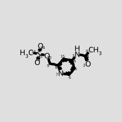 CC(=O)Nc1ccnc(COS(C)(=O)=O)c1